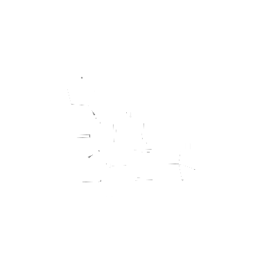 CC1(c2ccc(N(C(=O)[C@H](F)Cl)[C@](C)(C(=O)N[C@H]3CCC(F)(F)C3)c3cncnc3)cc2)CC1